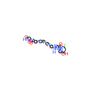 C[C@@]1(O)CCC=C(F)Cn2c(=O)c3cnc(Nc4ccc(N5CCC(N6CCC7(CCN(c8ccc9c(c8)CN(C8CCC(=O)NC8=O)C9=O)CC7)C6)CC5)cc4)nc3n2-c2cccc1n2